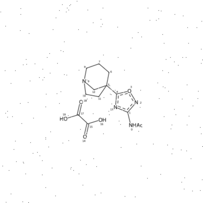 CC(=O)Nc1noc(C23CCCN(CC2)C3)n1.O=C(O)C(=O)O